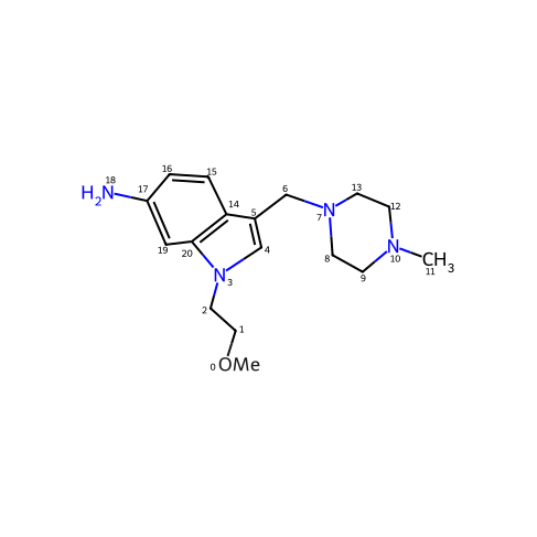 COCCn1cc(CN2CCN(C)CC2)c2ccc(N)cc21